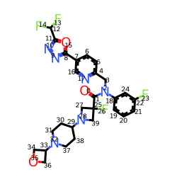 O=C(N(Cc1ccc(-c2nnc(C(F)F)o2)cn1)c1cccc(F)c1)C1(F)CN(C2CCN(C3COC3)CC2)C1